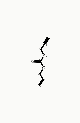 C#CCSC(=S)OCC=C